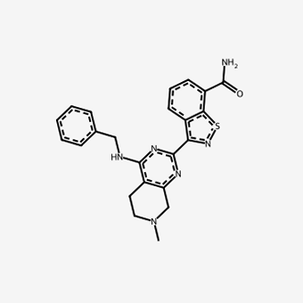 CN1CCc2c(nc(-c3nsc4c(C(N)=O)cccc34)nc2NCc2ccccc2)C1